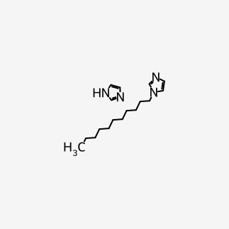 CCCCCCCCCCCn1ccnc1.c1c[nH]cn1